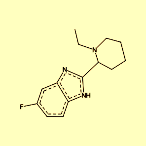 CCN1CCCCC1c1nc2cc(F)ccc2[nH]1